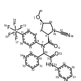 CO[C@@H]1C[C@H](C(=O)N(c2ccc(S(F)(F)(F)(F)F)cc2)C(C(=O)Nc2cccnc2)c2cccnc2)N(C#N)C1